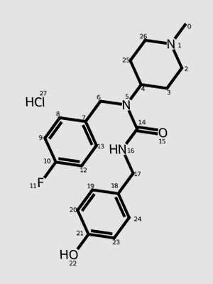 CN1CCC(N(Cc2ccc(F)cc2)C(=O)NCc2ccc(O)cc2)CC1.Cl